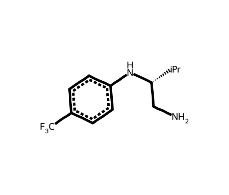 CC(C)[C@H](CN)Nc1ccc(C(F)(F)F)cc1